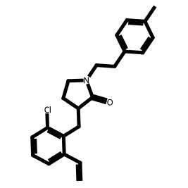 C=Cc1cccc(Cl)c1CC1CCN(CCc2ccc(C)cc2)C1=O